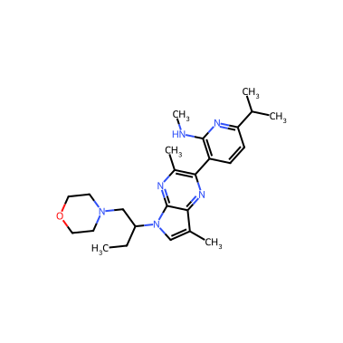 CCC(CN1CCOCC1)n1cc(C)c2nc(-c3ccc(C(C)C)nc3NC)c(C)nc21